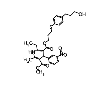 CCC1=C(C(=O)OCCCSc2ccc(CCCO)cc2)C(c2cccc([N+](=O)[O-])c2)C(C(=O)OC)=C(C)N1